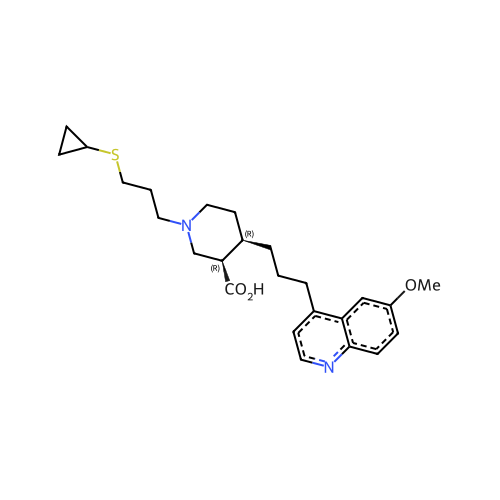 COc1ccc2nccc(CCC[C@@H]3CCN(CCCSC4CC4)C[C@@H]3C(=O)O)c2c1